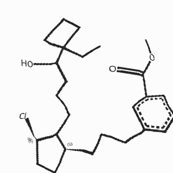 CCC1(C(O)CCCC2[C@@H](CCCc3cccc(C(=O)OC)c3)CC[C@H]2Cl)CCC1